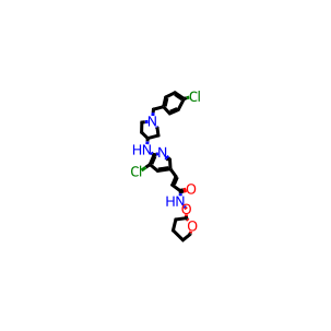 O=C(C=Cc1cnc(NC2CCN(Cc3ccc(Cl)cc3)CC2)c(Cl)c1)NOC1CCCCO1